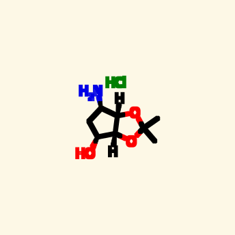 CC1(C)O[C@@H]2[C@H](O1)[C@@H](O)C[C@H]2N.Cl